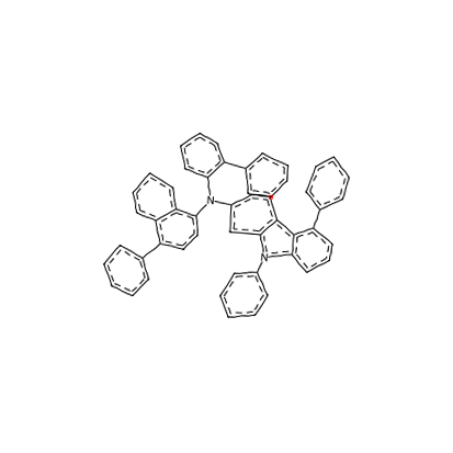 c1ccc(-c2ccccc2N(c2ccc3c4c(-c5ccccc5)cccc4n(-c4ccccc4)c3c2)c2ccc(-c3ccccc3)c3ccccc23)cc1